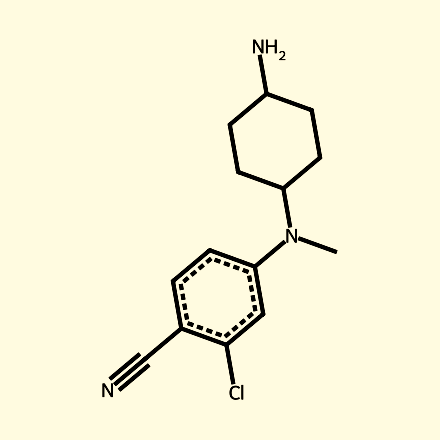 CN(c1ccc(C#N)c(Cl)c1)C1CCC(N)CC1